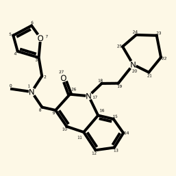 CN(Cc1ccco1)Cc1cc2ccccc2n(CCN2CCCCC2)c1=O